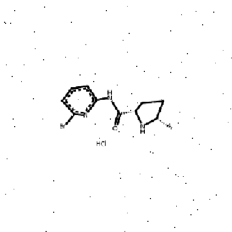 C[C@H]1CC[C@@H](C(=O)Nc2cccc(Br)n2)N1.Cl